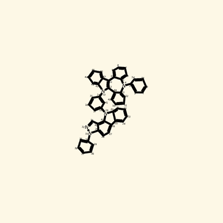 c1ccc(N2c3ccccc3-c3c(n(-c4cccc(-n5c6ccccc6c6ccc7c(cnn7-c7ccccc7)c65)c4)c4ccccc34)-c3ccccc32)cc1